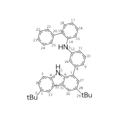 CC(C)(C)c1ccc2[nH]c3c(-c4cccc(Nc5ccccc5-c5ccccc5)c4)cc(C(C)(C)C)cc3c2c1